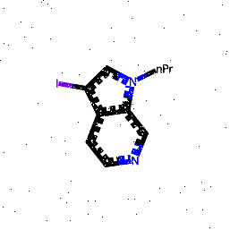 CCCn1cc(I)c2ccncc21